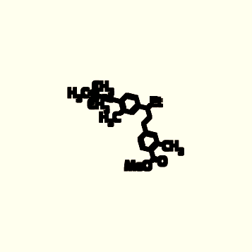 CCC(CCc1ccc(C(=O)OC)c(C)c1)c1ccc(C#C[Si](C)(C)C)c(C)c1